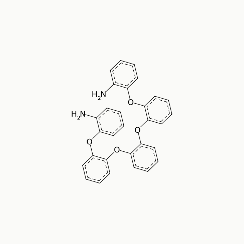 Nc1ccccc1Oc1ccccc1Oc1ccccc1Oc1ccccc1Oc1ccccc1N